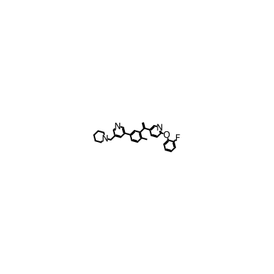 C=C(c1ccc(Oc2ccccc2F)nc1)c1cc(-c2cncc(CN3CCCCC3)c2)ccc1C